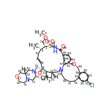 COC[C@@H]1[C@@H](C)C/C=C/[C@](CN2CCN3CCOC[C@@H]3C2)(OC)C2CC[C@H]2CN2CCCCc3cc(Cl)ccc3COc3ccc(cc32)C(=O)NS1(=O)=O